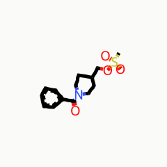 CS(=O)(=O)OCC1CCN(C(=O)c2ccccc2)CC1